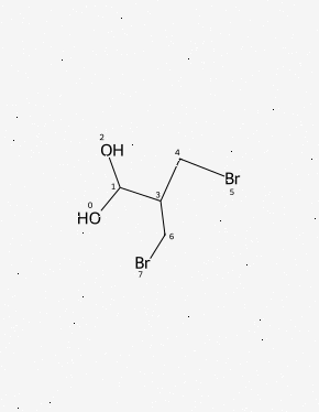 OC(O)C(CBr)CBr